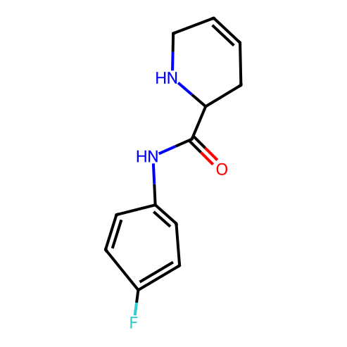 O=C(Nc1ccc(F)cc1)C1CC=CCN1